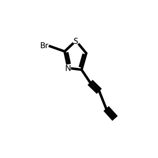 C#CC#Cc1csc(Br)n1